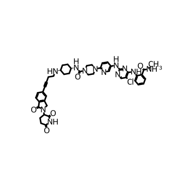 CNC(=O)c1ccccc1Nc1nc(Nc2ccc(N3CCN(C(=O)N[C@H]4CC[C@@H](NCCC#Cc5ccc6c(c5)CN(C5CCC(=O)NC5=O)C6=O)CC4)CC3)nc2)ncc1Cl